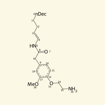 CCCCCCCCCCCC/C=C/NC(=O)Cc1ccc(OCCN)c(OC)c1